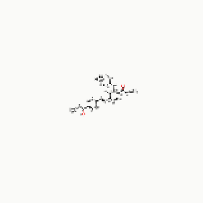 C=CC(=O)c1ccc(C=Cc2ccc(C(=O)C=C)c(CCCC)c2CCCC)cc1